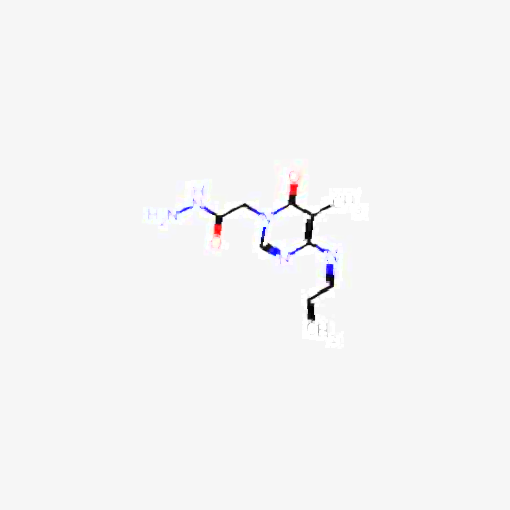 C=C/C=N\c1ncn(CC(=O)NN)c(=O)c1C